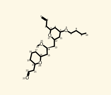 C=CCC1CC(OCCCC)CC(C[C@@H](CC2CCCC(CC=O)O2)OC)O1